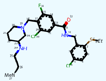 CCSc1ccc(Cl)cc1CNC(=O)c1cc(F)c(CN2CCCC(NCCNC)C2)c(Cl)c1